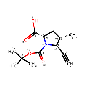 C#C[C@@H]1[C@@H](C)C[C@@H](C(=O)O)N1C(=O)OC(C)(C)C